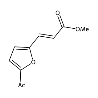 COC(=O)C=Cc1ccc(C(C)=O)o1